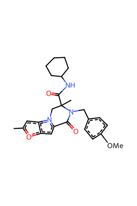 COc1ccc(CN2C(=O)c3cc4oc(C)cc4n3CC2(C)C(=O)NC2CCCCC2)cc1